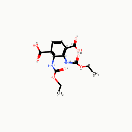 CCOC(=O)Nc1c(C(=O)O)ccc(C(=O)O)c1NC(=O)OCC